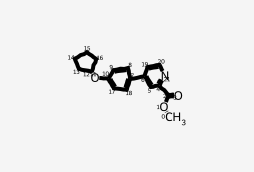 COC(=O)c1cc(-c2ccc(OC3CCCC3)cc2)ccn1